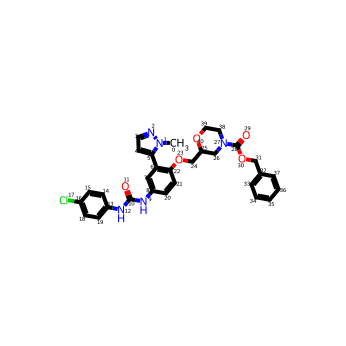 Cn1nccc1-c1cc(NC(=O)Nc2ccc(Cl)cc2)ccc1OCC1CN(C(=O)OCc2ccccc2)CCO1